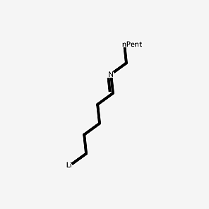 [Li][CH2]CCCC=NCCCCCC